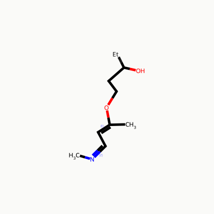 CCC(O)CCO/C(C)=C/C=N\C